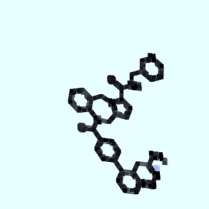 N/C(Cc1ccccc1-c1ccc(C(=O)N2Cc3ccc(C(=O)NCc4cccnc4)n3Cc3ccccc32)cc1)=N/O